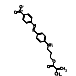 C=C(C)C(=O)OCCCNc1ccc(N=Nc2ccc([N+](=O)[O-])cc2)cc1